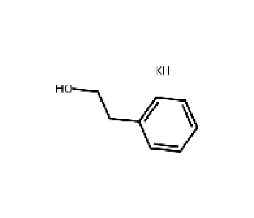 OCCc1ccccc1.[KH]